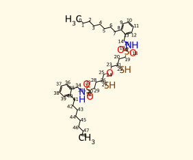 CCCCCCCCc1ccccc1CNS(=O)(=O)CCC(S)COCC(S)CCS(=O)(=O)NCc1ccccc1CCCCCCCC